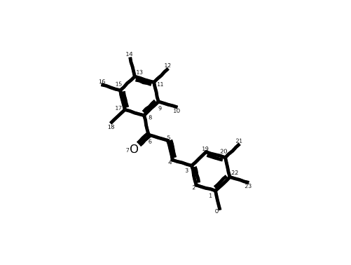 Cc1cc(/C=C/C(=O)c2c(C)c(C)c(C)c(C)c2C)cc(C)c1C